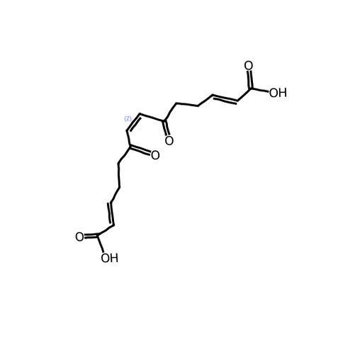 O=C(O)C=CCCC(=O)/C=C\C(=O)CCC=CC(=O)O